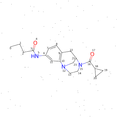 CCCC(=O)Nc1ccc2c(c1)N1CCN(C(=O)C3CC3)C(C2)C1